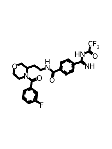 N=C(NC(=O)C(F)(F)F)c1ccc(C(=O)NCCC2COCCN2C(=O)c2cccc(F)c2)cc1